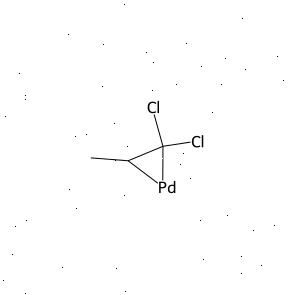 C[CH]1[Pd][C]1(Cl)Cl